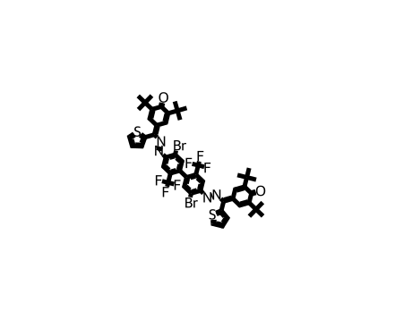 CC(C)(C)C1=CC(=C(/N=N/c2cc(C(F)(F)F)c(-c3cc(Br)c(/N=N/C(=C4C=C(C(C)(C)C)C(=O)C(C(C)(C)C)=C4)c4cccs4)cc3C(F)(F)F)cc2Br)c2cccs2)C=C(C(C)(C)C)C1=O